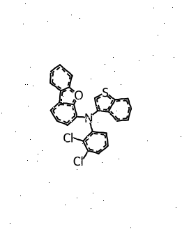 Clc1cccc(N(c2csc3ccccc23)c2cccc3c2oc2ccccc23)c1Cl